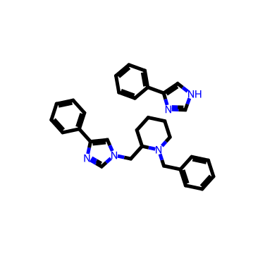 c1ccc(-c2c[nH]cn2)cc1.c1ccc(CN2CCCCC2Cn2cnc(-c3ccccc3)c2)cc1